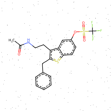 CC(=O)NCCc1c(Cc2ccccc2)sc2ccc(OS(=O)(=O)C(F)(F)F)cc12